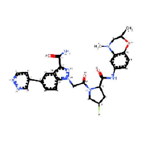 CC1CN(C)c2cc(NC(=O)C3CC(F)CN3C(=O)Cn3nc(C(N)=O)c4cc(-c5ccnnc5)ccc43)ccc2O1